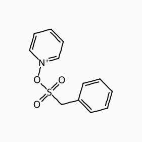 O=S(=O)(Cc1ccccc1)O[n+]1ccccc1